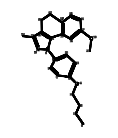 CCCCOc1ccc(-n2nc(C)c3c2-c2cc(OC)ccc2CC3)cc1